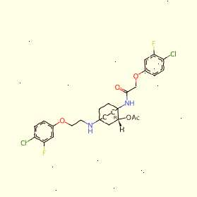 CC(=O)O[C@@H]1CC2(NCCOc3ccc(Cl)c(F)c3)CCC1(NC(=O)COc1ccc(Cl)c(F)c1)CC2